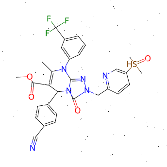 COC(=O)C1=C(C)N(c2cccc(C(F)(F)F)c2)c2nn(Cc3ccc([SH](C)(C)=O)cn3)c(=O)n2C1c1ccc(C#N)cc1